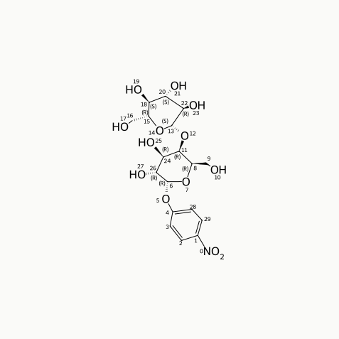 O=[N+]([O-])c1ccc(O[C@H]2O[C@H](CO)[C@H](O[C@@H]3O[C@H](CO)[C@@H](O)[C@H](O)[C@H]3O)[C@H](O)[C@H]2O)cc1